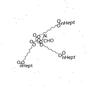 CCCCCCCC(=O)OCCCCCCCCCOC(=O)CC(CC(=O)OCCCCCCCCCOC(=O)CCCCCCC)(OCC(C=O)CN(C)C)C(=O)OCCCCCCCCCOC(=O)CCCCCCC